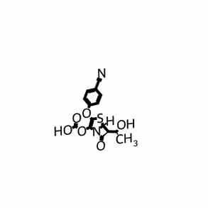 C[C@@H](O)[C@H]1C(=O)N2C(OC(=O)O)=C(Oc3ccc(C#N)cc3)S[C@H]12